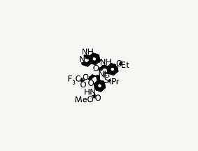 CCOc1ccc(F)c(C(Nc2ccc3c(N)nccc3c2)C(=O)N[C@H](CC(=O)OC(=O)C(F)(F)F)c2cc(NC(=O)OC)ccc2SC(C)C)c1